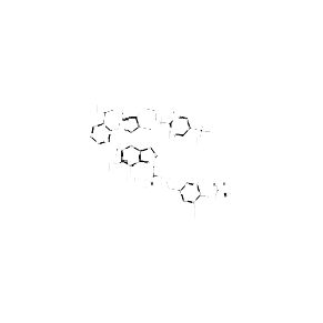 CCc1cccc(CC)c1-n1nc2c(c1-c1cc(F)c(OC)c3c1ccn3C(=O)OCc1ccc(OP(=O)(O)O)c(F)c1)CN(c1ncc(C(F)(F)F)cn1)CC2